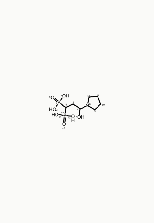 O=P(O)(O)C(CC(O)N1CCCC1)P(=O)(O)O